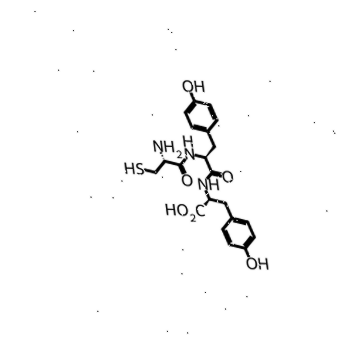 N[C@@H](CS)C(=O)N[C@@H](Cc1ccc(O)cc1)C(=O)N[C@@H](Cc1ccc(O)cc1)C(=O)O